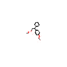 CCOC(=O)CC(c1ccccc1)c1ccc(OCCOC)cc1